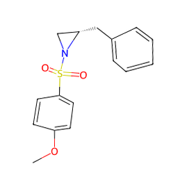 COc1ccc(S(=O)(=O)N2C[C@@H]2Cc2ccccc2)cc1